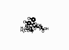 CC(C)(C)S(=O)(=O)CC(C1CC1)N1C(=O)[C@](C)(Cc2ncc(C(=O)O)s2)O[C@H](c2cccc(Cl)c2)C1c1ccc(Cl)c(F)c1